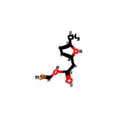 Cc1ccc(CC(=O)OC=S)o1